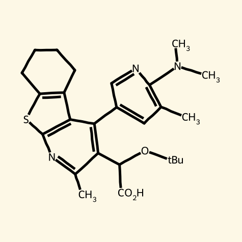 Cc1cc(-c2c(C(OC(C)(C)C)C(=O)O)c(C)nc3sc4c(c23)CCCC4)cnc1N(C)C